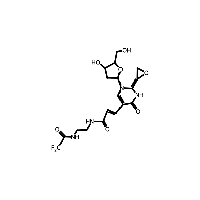 O=C(/C=C/C1=CN(C2CC(O)C(CO)O2)/C(=C2\CO2)NC1=O)NCCNC(=O)C(F)(F)F